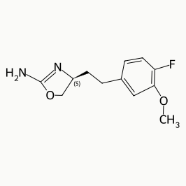 COc1cc(CC[C@H]2COC(N)=N2)ccc1F